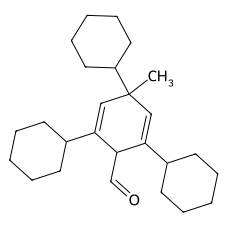 CC1(C2CCCCC2)C=C(C2CCCCC2)C(C=O)C(C2CCCCC2)=C1